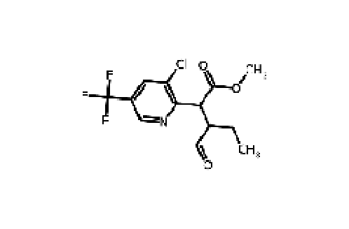 CCC(C=O)C(C(=O)OC)c1ncc(C(F)(F)F)cc1Cl